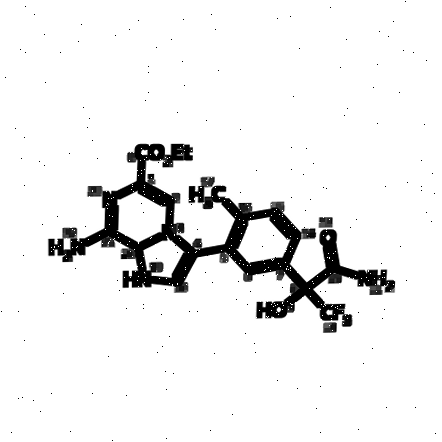 CCOC(=O)C1=CN2C(c3cc(C(O)(C(N)=O)C(F)(F)F)ccc3C)=CNC2C(N)=N1